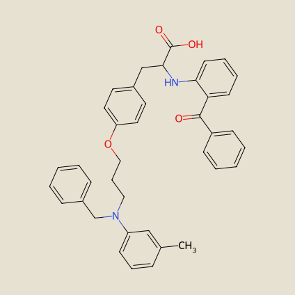 Cc1cccc(N(CCCOc2ccc(CC(Nc3ccccc3C(=O)c3ccccc3)C(=O)O)cc2)Cc2ccccc2)c1